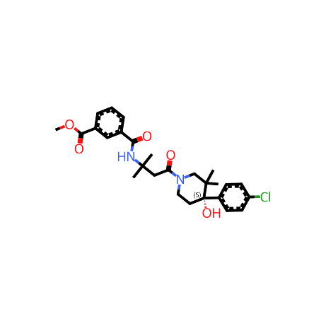 COC(=O)c1cccc(C(=O)NC(C)(C)CC(=O)N2CC[C@](O)(c3ccc(Cl)cc3)C(C)(C)C2)c1